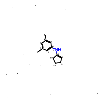 Cc1cc(C)cc(NC2=CCCC2)c1